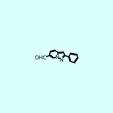 O=Cc1ccc2cc(-c3ccccc3)nn2c1